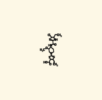 C=Cc1nc(N2CCC(NC(=O)c3nc(Cl)c(CC)[nH]3)C(OC)C2)sc1C(=O)O